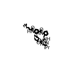 CC(C)c1cnn2c(NCc3ccccc3NC(=O)c3ccc(NC(=O)/C=C/CN(C)C)cc3)nc(OC3CCN(C)CC3)nc12